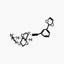 [N-]=[N+]=N[C@H]1CO[C@H]2[C@@H]1OC[C@@H]2C#Cc1cccc(C2OC=CO2)c1